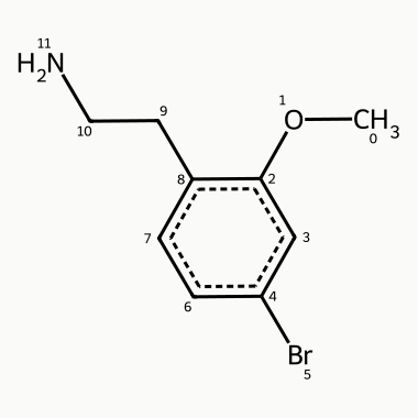 COc1cc(Br)ccc1CCN